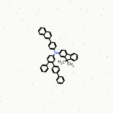 CC1(C)c2ccccc2-c2ccc(N(c3ccc(-c4ccc5ccccc5c4)cc3)c3ccc(-c4ccccc4)c(-c4ccc(-c5ccccc5)cc4)c3)cc21